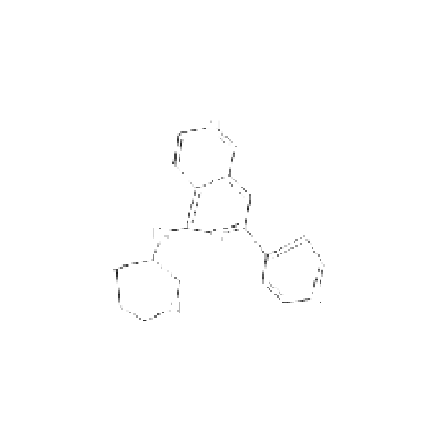 c1cc(-c2cc3cnccc3c(NC3CCCNC3)n2)ccn1